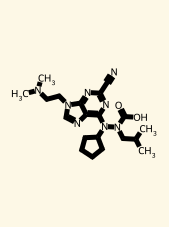 CC(C)CN(C(=O)O)N(c1nc(C#N)nc2c1ncn2CCN(C)C)C1CCCC1